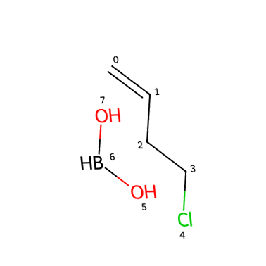 C=CCCCl.OBO